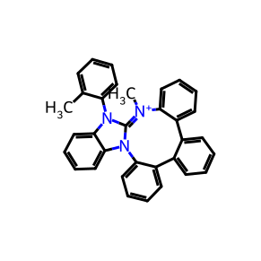 Cc1ccccc1-n1c2ccccc2n2c3ccccc3c3ccccc3c3ccccc3[n+](C)c12